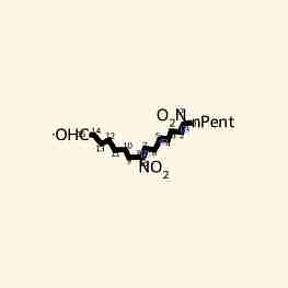 CCCCC/C(=C/C/C=C/C/C=C(/CCCCCC[C]=O)[N+](=O)[O-])[N+](=O)[O-]